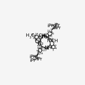 C#Cc1ccccc1-c1c2nc(c(-c3ccc(C#C[Si](C(C)C)(C(C)C)C(C)C)cc3)c3ccc([nH]3)c(-c3c(C)cc(C)cc3C)c3nc(c(-c4ccc(C#C[Si](C(C)C)(C(C)C)C(C)C)cc4)c4ccc1[nH]4)C=C3)C=C2